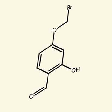 O=Cc1ccc(OCBr)cc1O